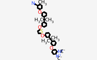 [C-]#[N+]c1ccc(Oc2cccc(C(C)(C)c3cccc(Oc4ccc(Oc5cccc(C(C)(C)c6cccc(Oc7ccc(C)c(C#N)c7)c6)c5)s4)c3)c2)cc1[N+]#[C-]